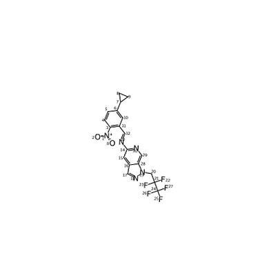 O=[N+]([O-])c1ccc(C2CC2)cc1/C=N/c1cc2cnn(CC(F)(F)C(F)(F)F)c2cn1